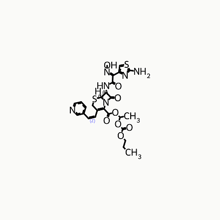 CCCOC(=O)OC(C)OC(=O)C1=C(/C=C\c2cccnc2)CS[C@H]2[C@H](NC(=O)C(=NO)c3csc(N)n3)C(=O)N12